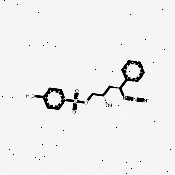 Cc1ccc(S(=O)(=O)OC[C@@H](O)C[C@H](N=[N+]=[N-])c2ccccc2)cc1